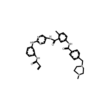 C=CC(=O)Nc1cccc(Nc2ncc(NC(=O)c3cc(NC(=O)c4ccc(CN5CCN(C)CC5)cc4)ccc3C)cn2)c1